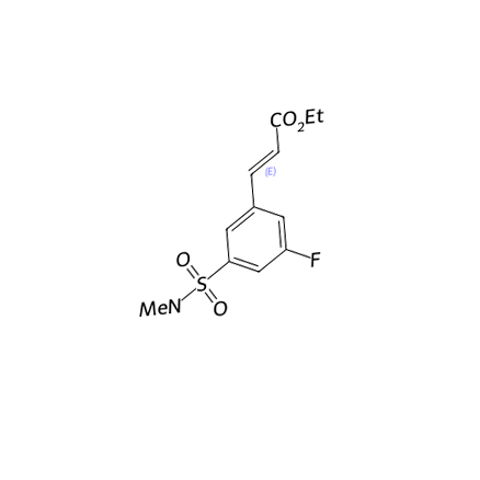 CCOC(=O)/C=C/c1cc(F)cc(S(=O)(=O)NC)c1